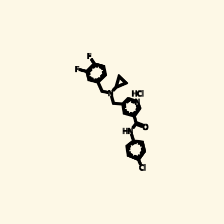 Cl.O=C(Nc1ccc(Cl)cc1)c1cncc(CN(Cc2ccc(F)c(F)c2)C2CC2)c1